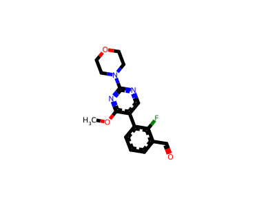 COc1nc(N2CCOCC2)ncc1-c1cccc(C=O)c1F